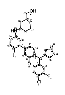 Cn1cc(C(c2ccc(Cl)c(F)c2)n2ccc(-c3nc(NC4CCOC(CO)C4)ncc3F)cc2=O)cn1